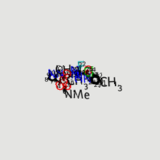 CNCC(=O)OCc1cccnc1N(C)C(=O)OC(C)n1nc(F)c(C(=O)Nc2ccc(C)cc2Cl)n1